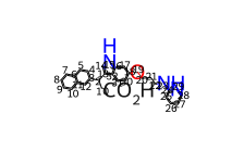 O=C(O)CC(c1ccc2ccccc2c1)c1c[nH]c2cc(OCCCNc3ccccn3)ccc12